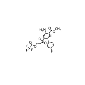 COC(=O)c1nc(-c2ccc(F)cc2)c(S(=O)(=O)CCOC(=O)C(F)(F)F)cc1N